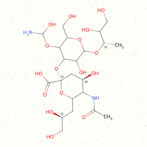 CC(=O)NC1C(C[C@H](O)CO)O[C@@](OC2C(O)C(O[C@@H](C)C(O)CO)OC(CO)C2OC(N)O)(C(=O)O)C[C@H]1O